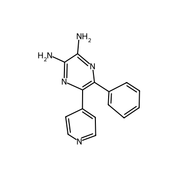 Nc1nc(-c2ccccc2)c(-c2ccncc2)nc1N